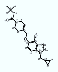 CC(C)(C)OC(=O)N1CC=C(COc2ccc3c(nnn3CC3CC3)c2Br)CC1